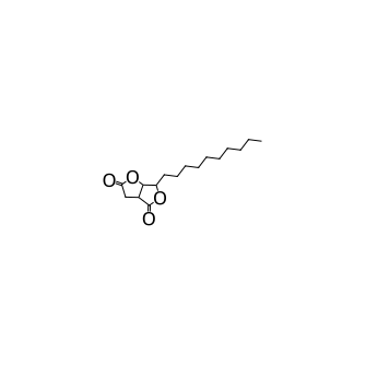 CCCCCCCCCCC1OC(=O)C2CC(=O)OC12